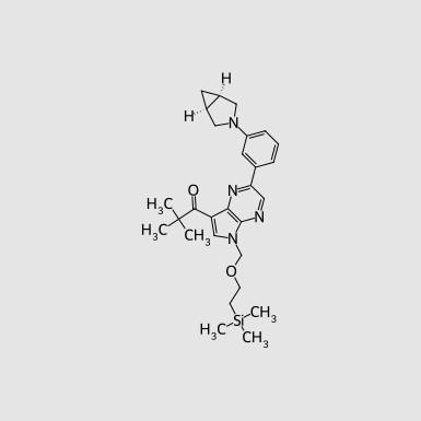 CC(C)(C)C(=O)c1cn(COCC[Si](C)(C)C)c2ncc(-c3cccc(N4C[C@H]5C[C@H]5C4)c3)nc12